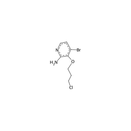 Nc1nccc(Br)c1OCCCCl